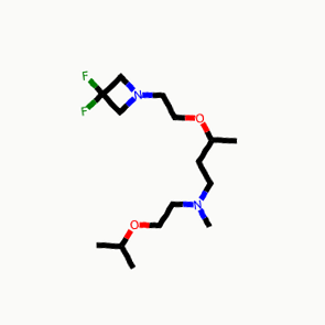 CC(C)OCCN(C)CCC(C)OCCN1CC(F)(F)C1